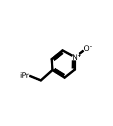 CC(C)Cc1cc[n+]([O-])cc1